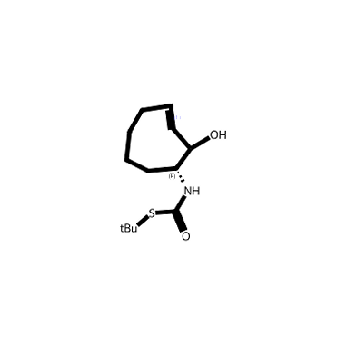 CC(C)(C)SC(=O)N[C@@H]1CCCC/C=C/C1O